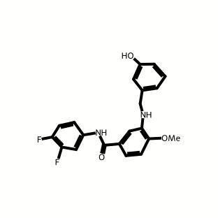 COc1ccc(C(=O)Nc2ccc(F)c(F)c2)cc1NCc1cccc(O)c1